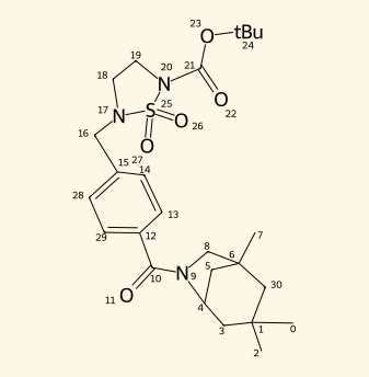 CC1(C)CC2CC(C)(CN2C(=O)c2ccc(CN3CCN(C(=O)OC(C)(C)C)S3(=O)=O)cc2)C1